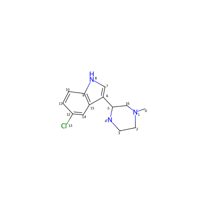 CN1CC[N]C(c2c[nH]c3ccc(Cl)cc23)C1